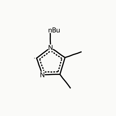 CCCCn1[c]nc(C)c1C